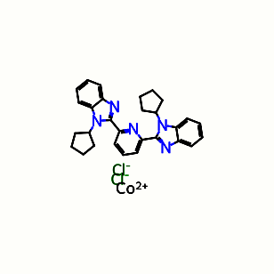 [Cl-].[Cl-].[Co+2].c1cc(-c2nc3ccccc3n2C2CCCC2)nc(-c2nc3ccccc3n2C2CCCC2)c1